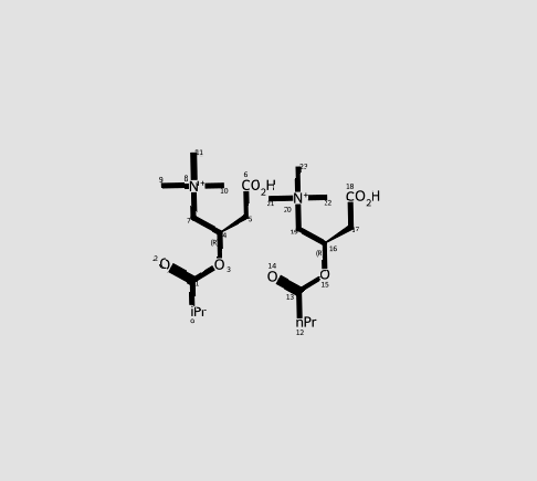 CC(C)C(=O)O[C@H](CC(=O)O)C[N+](C)(C)C.CCCC(=O)O[C@H](CC(=O)O)C[N+](C)(C)C